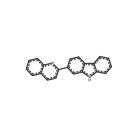 c1ccc2nc(-c3ccc4c(c3)[nH]c3ccccc34)ccc2c1